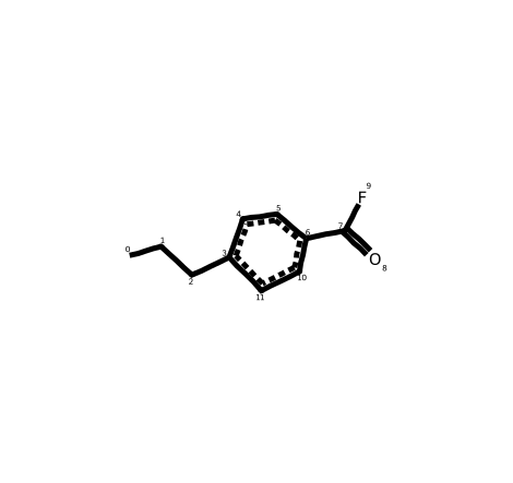 CCCc1ccc(C(=O)F)cc1